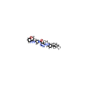 Cc1c(NCc2ccc(C(C)(C)C)cc2)ncnc1C(=O)N1CCC(NC2CCOc3ccccc32)CC1